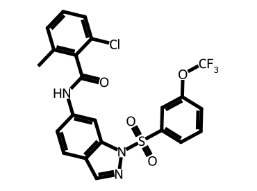 Cc1cccc(Cl)c1C(=O)Nc1ccc2cnn(S(=O)(=O)c3cccc(OC(F)(F)F)c3)c2c1